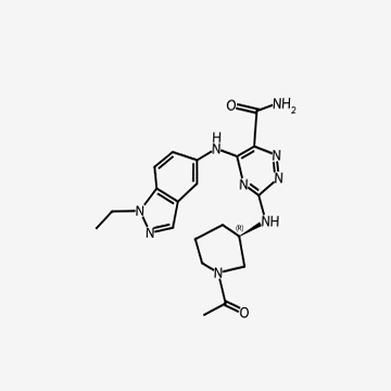 CCn1ncc2cc(Nc3nc(N[C@@H]4CCCN(C(C)=O)C4)nnc3C(N)=O)ccc21